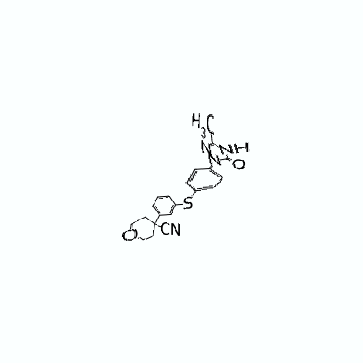 Cc1nn(-c2ccc(Sc3cccc(C4(C#N)CCOCC4)c3)cc2)c(=O)[nH]1